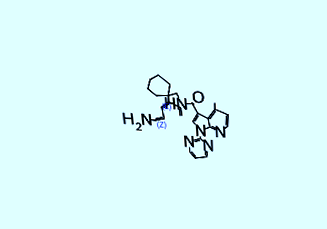 C=C/C(=C\C=C/N)C1(CNC(=O)c2cn(-c3ncccn3)c3nccc(C)c23)CCCCC1